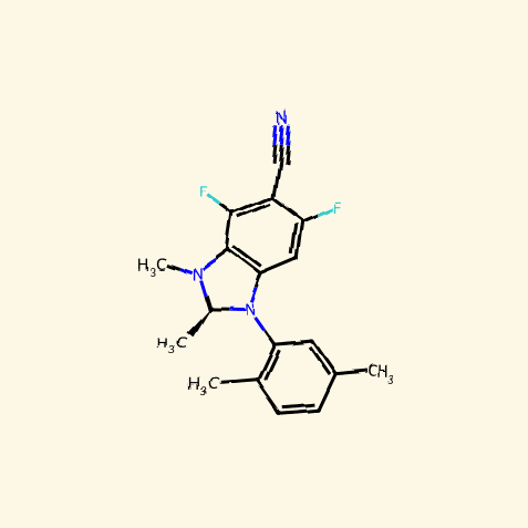 Cc1ccc(C)c(N2c3cc(F)c(C#N)c(F)c3N(C)[C@@H]2C)c1